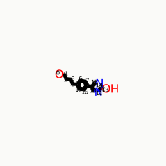 O=CCCCc1ccc(-c2cnc(O)nc2)cc1